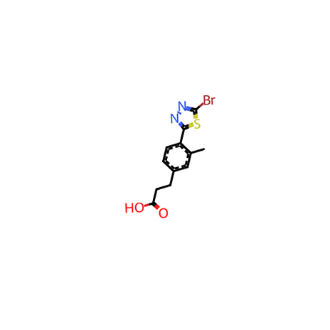 Cc1cc(CCC(=O)O)ccc1-c1nnc(Br)s1